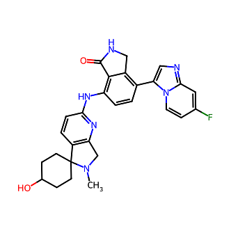 CN1Cc2nc(Nc3ccc(-c4cnc5cc(F)ccn45)c4c3C(=O)NC4)ccc2C12CCC(O)CC2